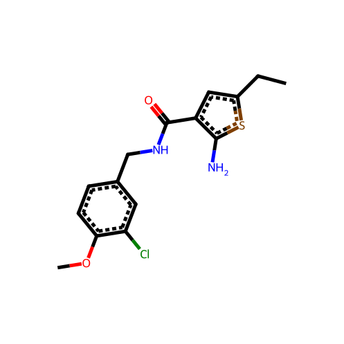 CCc1cc(C(=O)NCc2ccc(OC)c(Cl)c2)c(N)s1